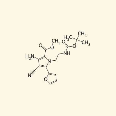 COC(=O)c1c(N)c(C#N)c(-c2ccco2)n1CCNC(=O)OC(C)(C)C